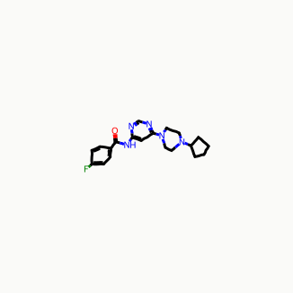 O=C(Nc1cc(N2CCN(C3CCCC3)CC2)ncn1)c1ccc(F)cc1